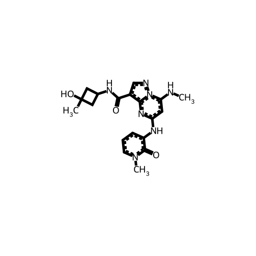 CNc1cc(Nc2cccn(C)c2=O)nc2c(C(=O)NC3CC(C)(O)C3)cnn12